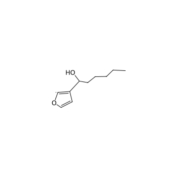 CCCCCC(O)c1[c]occ1